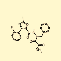 Cc1nc(-c2ccccc2F)c(C(=O)NC(Cc2ccccc2)C(=O)C(N)=O)o1